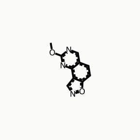 COc1ncc2ccc3oncc3c2n1